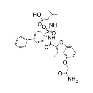 Cc1c(C(=O)NC2(S(=O)(=O)N[C@H](C(=O)O)C(C)C)C=CC(c3ccccc3)=CC2)oc2cccc(OCC(N)=O)c12